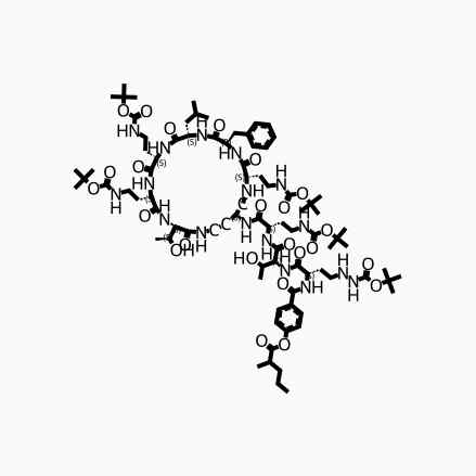 CCCC(C)C(=O)Oc1ccc(C(=O)N[C@@H](CCNNC(=O)OC(C)(C)C)C(=O)N[C@H](C(=O)N[C@@H](CCNC(=O)OC(C)(C)C)C(=O)N[C@H]2CCNC(=O)[C@H]([C@H](C)O)NC(=O)[C@H](CCNC(=O)OC(C)(C)C)NC(=O)[C@H](CCNC(=O)OC(C)(C)C)NC(=O)[C@H](CC(C)C)NC(=O)[C@@H](Cc3ccccc3)NC(=O)[C@H](CCNC(=O)OC(C)(C)C)NC2)C(C)O)cc1